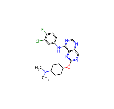 CN(C)C1CCC(Oc2ncc3ncnc(Nc4ccc(F)c(Cl)c4)c3n2)CC1